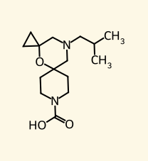 CC(C)CN1CC2(CCN(C(=O)O)CC2)OC2(CC2)C1